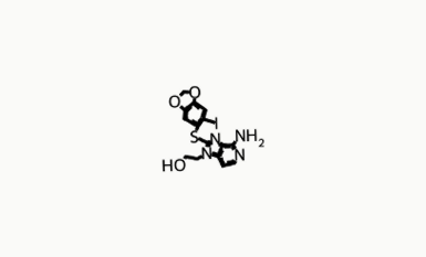 Nc1nccc2c1nc(Sc1cc3c(cc1I)OCO3)n2CCO